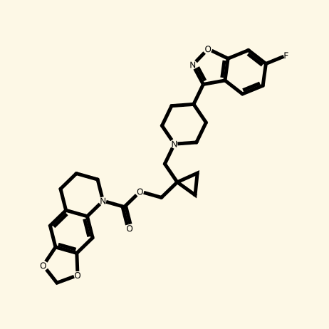 O=C(OCC1(CN2CCC(c3noc4cc(F)ccc34)CC2)CC1)N1CCCc2cc3c(cc21)OCO3